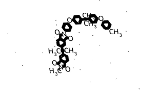 Cc1ccc(Oc2ccc(C(C)(C)c3ccc(Oc4ccc(N5C(=O)c6ccc(C(C)(C)c7ccc8c(c7)C(=O)N(C)C8=O)cc6C5=O)cc4)cc3)cc2)cc1